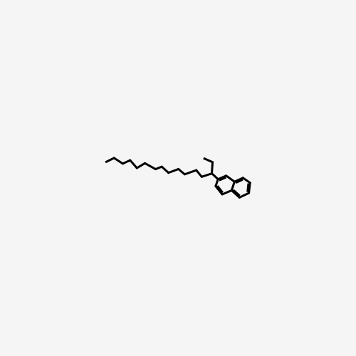 CCCCCCCCCCCCCC(CC)c1ccc2ccccc2c1